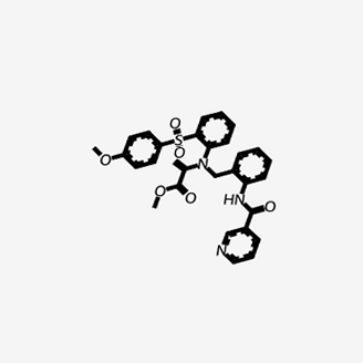 C=C(C(=O)OC)N(Cc1ccccc1NC(=O)c1cccnc1)c1ccccc1S(=O)(=O)c1ccc(OC)cc1